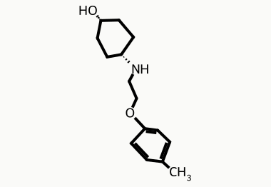 Cc1ccc(OCCN[C@H]2CC[C@@H](O)CC2)cc1